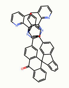 O=C1c2ccccc2C2(c3cc(-c4ccc5ccc6cccnc6c5n4)ccc31)c1ccccc1-c1ccc(-c3ccc4ccc5cccnc5c4n3)cc12